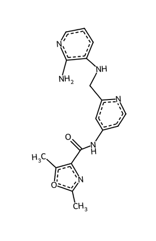 Cc1nc(C(=O)Nc2ccnc(CNc3cccnc3N)c2)c(C)o1